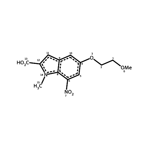 COCCOc1cc([N+](=O)[O-])c2c(c1)cc(C(=O)O)n2C